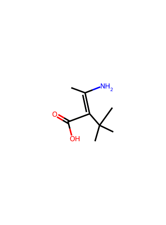 CC(N)=C(C(=O)O)C(C)(C)C